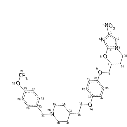 O=[N+]([O-])c1cn2c(n1)OC(COc1ccc(OCCC3CCN(Cc4ccc(OC(F)(F)F)cc4)CC3)cc1)CC2